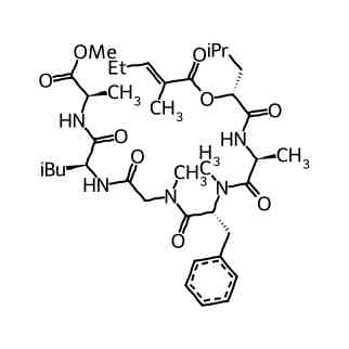 CC/C=C(\C)C(=O)O[C@H](CC(C)C)C(=O)N[C@@H](C)C(=O)N(C)[C@H](Cc1ccccc1)C(=O)N(C)CC(=O)N[C@H](C(=O)N[C@H](C)C(=O)OC)C(C)CC